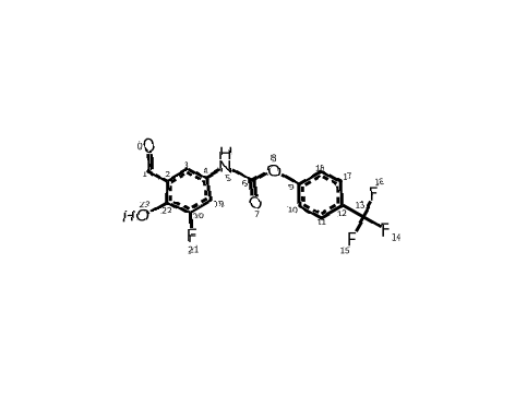 O=Cc1cc(NC(=O)Oc2ccc(C(F)(F)F)cc2)cc(F)c1O